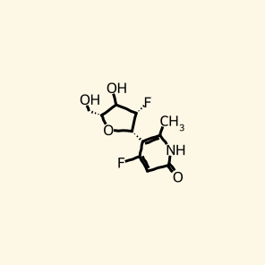 Cc1[nH]c(=O)cc(F)c1[C@@H]1O[C@H](CO)C(O)[C@@H]1F